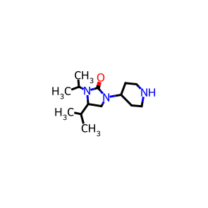 CC(C)C1CN(C2CCNCC2)C(=O)N1C(C)C